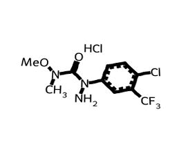 CON(C)C(=O)N(N)c1ccc(Cl)c(C(F)(F)F)c1.Cl